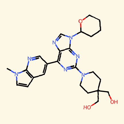 Cn1ccc2cc(-c3nc(N4CCC(CO)(CO)CC4)nc4c3ncn4C3CCCCO3)cnc21